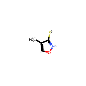 Cc1conc1[S]